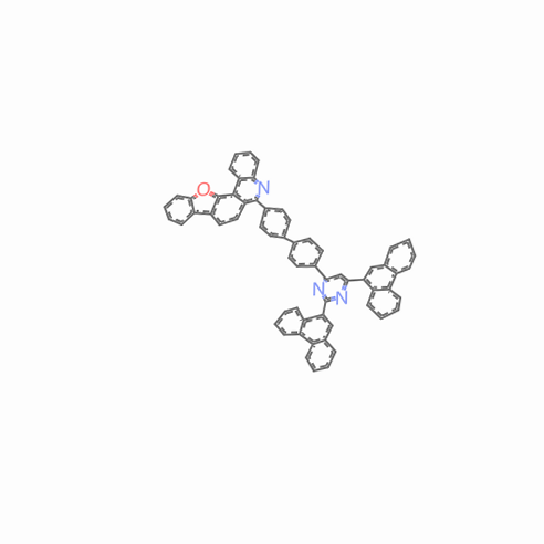 c1ccc2c(c1)cc(-c1cc(-c3ccc(-c4ccc(-c5nc6ccccc6c6c5ccc5c7ccccc7oc56)cc4)cc3)nc(-c3cc4ccccc4c4ccccc34)n1)c1ccccc12